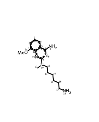 COc1cccc2c(N)nc(N(C)CCCCCCN)nc12